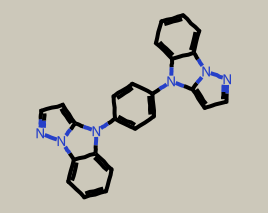 c1ccc2c(c1)n(-c1ccc(-n3c4ccccc4n4nccc34)cc1)c1ccnn21